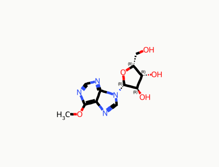 COc1ncnc2c1ncn2[C@@H]1O[C@H](CO)[C@H](O)[C@H]1O